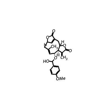 C=C1C(=O)O[C@H]2CC3=C[C@@H](C/C(C)=C/[C@@H](OC(O)c4ccc(OC)cc4)[C@H]12)OC3=O